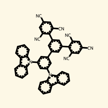 N#Cc1cc(C#N)c(-c2cc(-c3cc(-n4c5ccccc5c5ccccc54)cc(-n4c5ccccc5c5ccccc54)c3)cc(-c3c(C#N)cc(C#N)cc3C#N)c2)c(C#N)c1